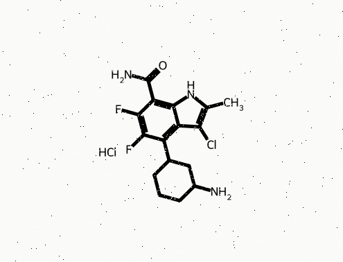 Cc1[nH]c2c(C(N)=O)c(F)c(F)c(C3CCCC(N)C3)c2c1Cl.Cl